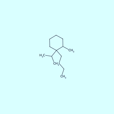 CCCCC1(C(C)C)CCCCC1C